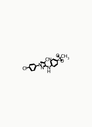 CS(=O)(=O)c1ccc(Nc2nn(-c3ccc(Cl)cc3)cc2C#N)cc1